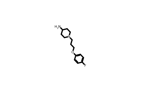 NC1CCN(CCCOc2ccc(F)cc2)CC1